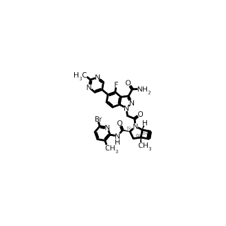 Cc1ncc(-c2ccc3c(c(C(N)=O)nn3CC(=O)N3[C@H](C(=O)Nc4nc(Br)ccc4C)C[C@@]4(C)C#C[C@@H]34)c2F)cn1